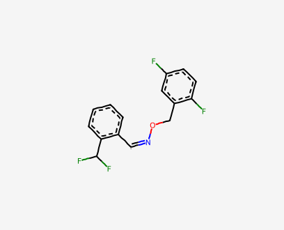 Fc1ccc(F)c(CO/N=[C]\c2ccccc2C(F)F)c1